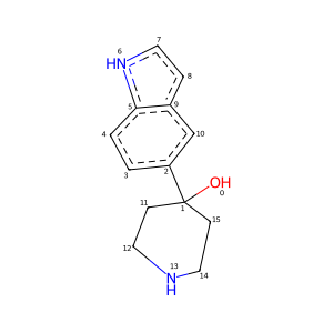 OC1(c2ccc3[nH]ccc3c2)CCNCC1